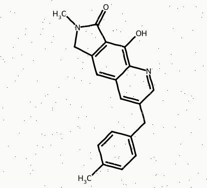 Cc1ccc(Cc2cnc3c(O)c4c(cc3c2)CN(C)C4=O)cc1